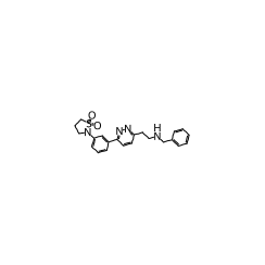 O=S1(=O)CCCN1c1cccc(-c2ccc(CCNCc3ccccc3)nn2)c1